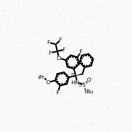 CC(C)Oc1ccc([C@@](Cc2ccccc2)(N[S@+]([O-])C(C)(C)C)c2cc(F)cc(OC(F)(F)C(F)F)c2)cc1F